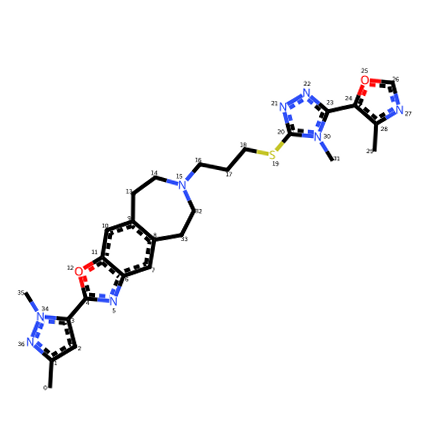 Cc1cc(-c2nc3cc4c(cc3o2)CCN(CCCSc2nnc(-c3ocnc3C)n2C)CC4)n(C)n1